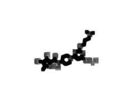 Cc1[nH]c(C(=O)NC2CCN(c3cc(C(=O)O)nc(OCCCN(C)C)n3)CC2)c(Cl)c1Cl